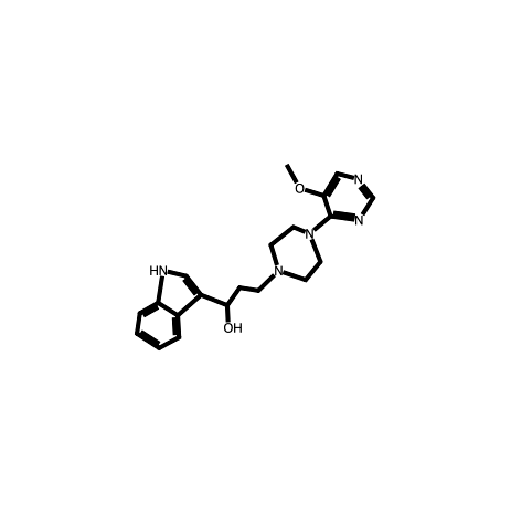 COc1cncnc1N1CCN(CCC(O)c2c[nH]c3ccccc23)CC1